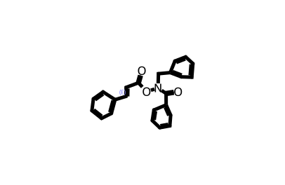 O=C(/C=C/c1ccccc1)ON(Cc1ccccc1)C(=O)c1ccccc1